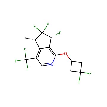 C[C@H]1c2c(C(F)(F)F)cnc(OC3CC(F)(F)C3)c2[C@@H](F)C1(F)F